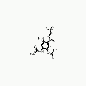 CC(C)COC(=O)Nc1cc(N)c(N(C)CCN(C)C)cc1OC(F)F